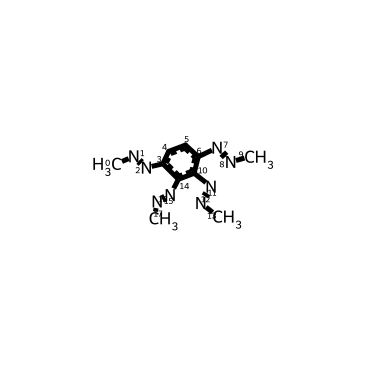 CN=Nc1ccc(N=NC)c(N=NC)c1N=NC